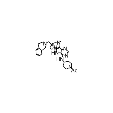 CC(=O)N1CCC(Nc2ncnc3c(N(C)C[C@H](O)CN4CCc5ccccc5C4)n[nH]c23)CC1